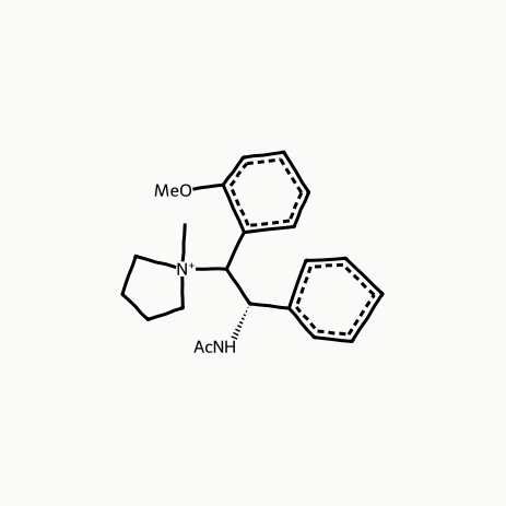 COc1ccccc1C([C@@H](NC(C)=O)c1ccccc1)[N+]1(C)CCCC1